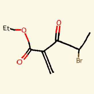 C=C(C(=O)OCC)C(=O)C(C)Br